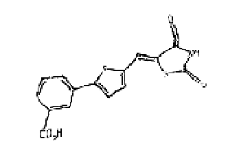 O=C1NC(=O)C(=Cc2ccc(-c3cccc(C(=O)O)c3)s2)S1